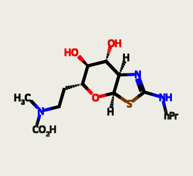 CCCNC1=N[C@@H]2[C@@H](O)[C@H](O)[C@@H](CCN(C)C(=O)O)O[C@@H]2S1